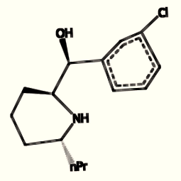 CCC[C@@H]1CCC[C@@H]([C@@H](O)c2cccc(Cl)c2)N1